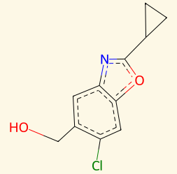 OCc1cc2nc(C3CC3)oc2cc1Cl